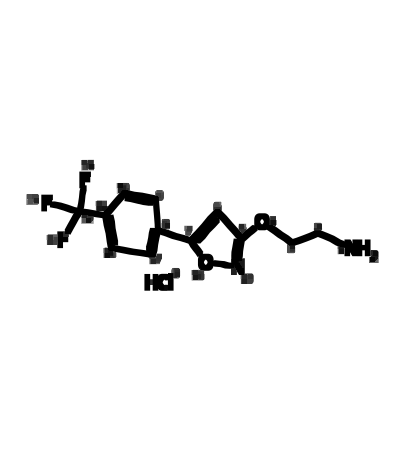 Cl.NCCOc1cc(-c2ccc(C(F)(F)F)cc2)on1